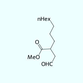 CCCCCCCCCC(CC=O)C(=O)OC